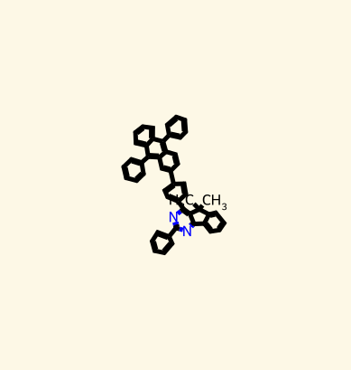 CC1(C)c2ccccc2-c2nc(-c3ccccc3)nc(-c3ccc(-c4ccc5c(-c6ccccc6)c6ccccc6c(-c6ccccc6)c5c4)cc3)c21